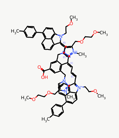 COCCOCc1cn(Cc2cc(C(=O)O)cc(Cn3cc(COCCOC)[n+](C)n3)c2C(=C\C=C\C2=[N+](CCOC)c3ccc(-c4ccc(C)cc4)c4cccc2c34)/C=C/C=c2\c3cccc4c(-c5ccc(C)cc5)ccc(c43)n2CCOC)n[n+]1C